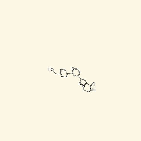 O=C1NCCn2nc(-c3ccnc(-c4ccc(CO)cc4)c3)cc21